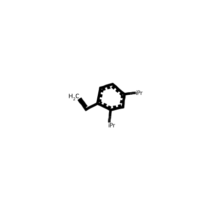 C=Cc1ccc(C(C)C)cc1C(C)C